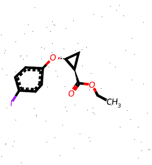 CCOC(=O)[C@@H]1C[C@H]1Oc1ccc(I)cc1